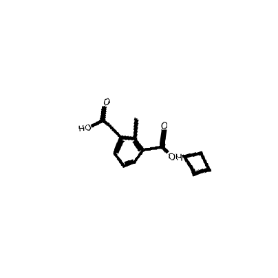 C1CCC1.Cc1c(C(=O)O)cccc1C(=O)O